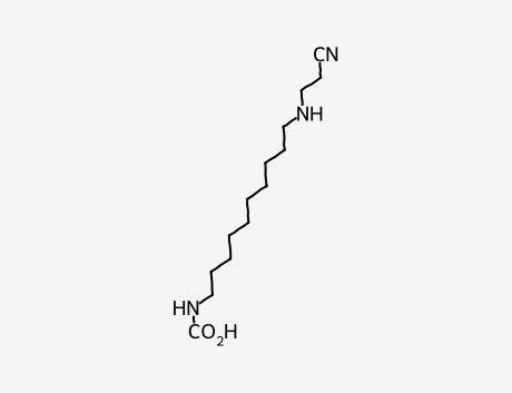 N#CCCNCCCCCCCCCCNC(=O)O